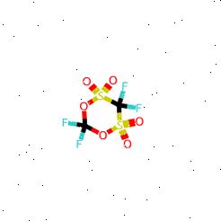 O=S1(=O)OC(F)(F)OS(=O)(=O)C1(F)F